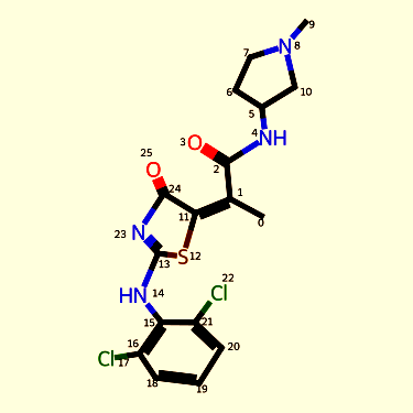 CC(C(=O)NC1CCN(C)C1)=C1SC(Nc2c(Cl)cccc2Cl)=NC1=O